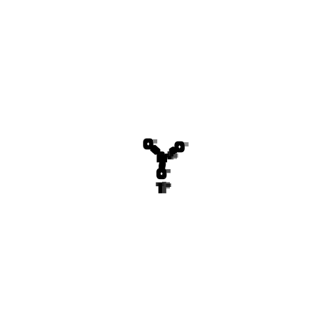 [O-][Br+2]([O-])[O-].[Tl+]